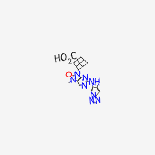 Cc1cc2ncnn2cc1Nc1ncc2c(n1)n(C1C3CC4CC5(C(=O)O)CC1C435)c(=O)n2C